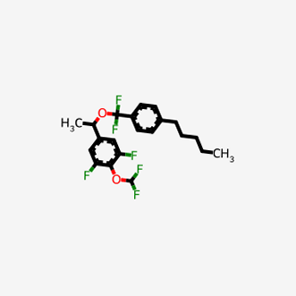 CCCCCc1ccc(C(F)(F)OC(C)c2cc(F)c(OC(F)F)c(F)c2)cc1